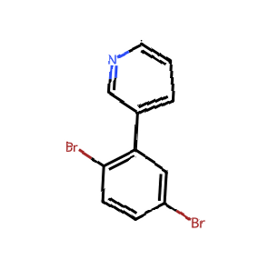 Brc1ccc(Br)c(-c2cc[c]nc2)c1